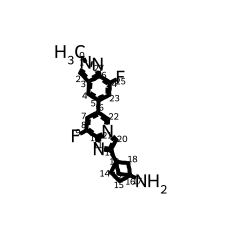 Cn1cc2cc(-c3cc(F)c4nc(C56CCC(N)(C5)C6)cn4c3)cc(F)c2n1